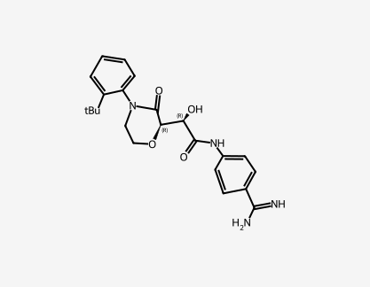 CC(C)(C)c1ccccc1N1CCO[C@H]([C@@H](O)C(=O)Nc2ccc(C(=N)N)cc2)C1=O